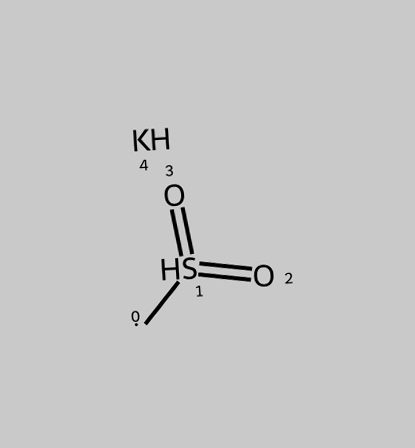 [CH2][SH](=O)=O.[KH]